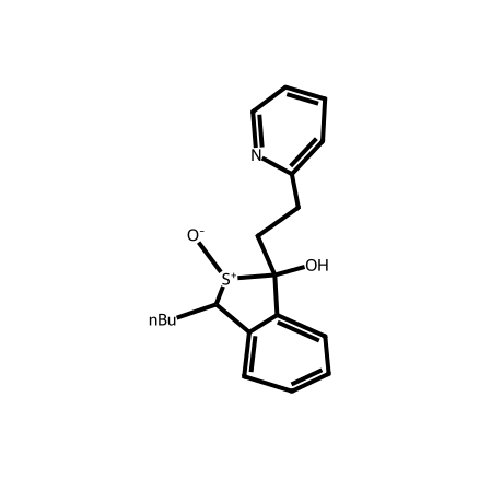 CCCCC1c2ccccc2C(O)(CCc2ccccn2)[S+]1[O-]